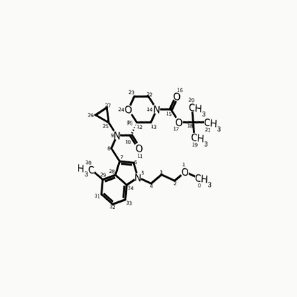 COCCCn1cc(CN(C(=O)[C@H]2CN(C(=O)OC(C)(C)C)CCO2)C2CC2)c2c(C)cccc21